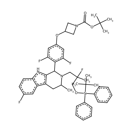 CC1Cc2c([nH]c3ccc(F)cc23)C(c2c(F)cc(OC3CN(C(=O)OC(C)(C)C)C3)cc2F)N1CC(C)(F)CO[Si](c1ccccc1)(c1ccccc1)C(C)(C)C